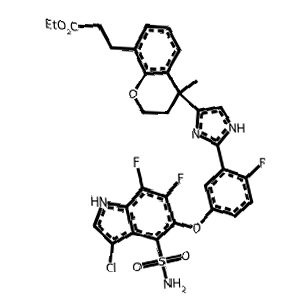 CCOC(=O)CCc1cccc2c1OCCC2(C)c1c[nH]c(-c2cc(Oc3c(F)c(F)c4[nH]cc(Cl)c4c3S(N)(=O)=O)ccc2F)n1